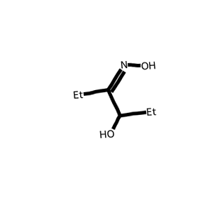 CCC(=NO)C(O)CC